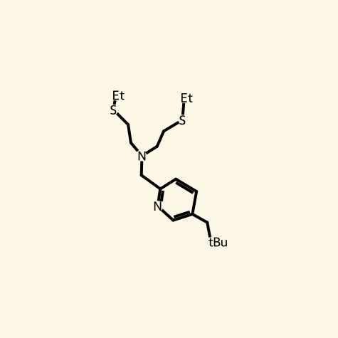 CCSCCN(CCSCC)Cc1ccc(CC(C)(C)C)cn1